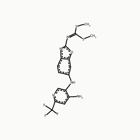 CSC(=Nc1nc2ccc(Nc3cnc(C(F)(F)F)cc3N)cc2o1)SC